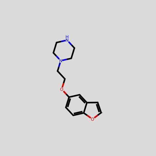 [c]1cc2cc(OCCN3CCNCC3)ccc2o1